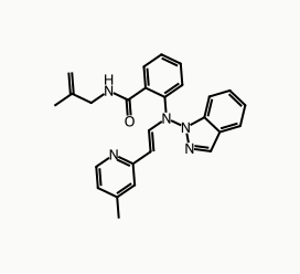 C=C(C)CNC(=O)c1ccccc1N(/C=C/c1cc(C)ccn1)n1ncc2ccccc21